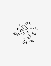 CC(=O)N[C@H]1C([C@H](O)[C@@H](CO)OC(C)=O)O[C@@](F)(C(=O)O)[C@@H](F)C1N